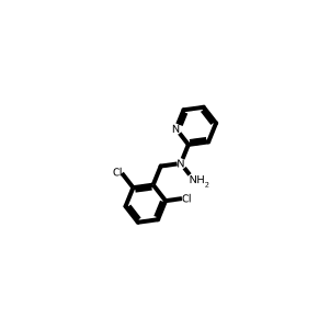 NN(Cc1c(Cl)cccc1Cl)c1ccccn1